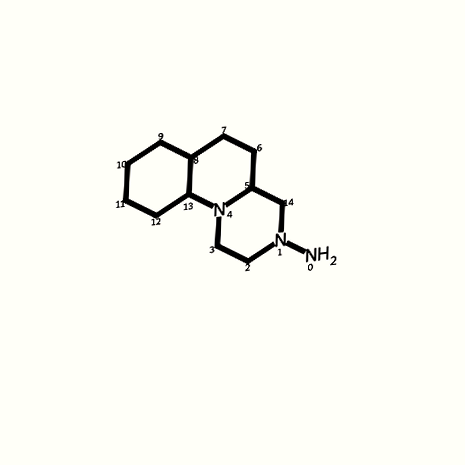 NN1CCN2C(CCC3CCCCC32)C1